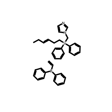 C=CB(c1ccccc1)c1ccccc1.CCC=CCC[Si](Cn1ccnc1)(c1ccccc1)c1ccccc1